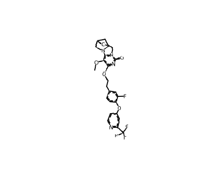 COc1c(OCCc2ccc(Oc3ccnc(C(F)(F)F)c3)c(F)c2)nc(=O)n2c1N1CC3CC1(C3)C2